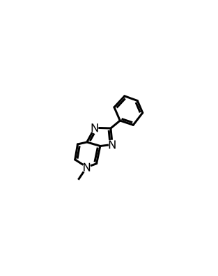 Cn1ccc2nc(-c3ccccc3)nc-2c1